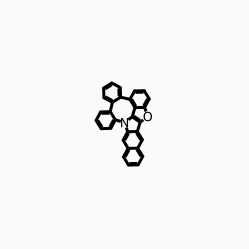 c1ccc2cc3c(cc2c1)c1oc2cccc4c5ccccc5c5ccccc5n3c1c24